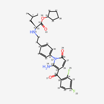 CC(C)C[C@H](NCCc1ccc(-n2c(N)c(C(=O)c3ccc(F)cc3F)ccc2=O)cc1)C(=O)OC1CCCC1